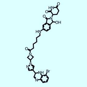 O=C1CCC(N2C(=O)c3cc(NCCCCCC(=O)N4CC(n5cc(C6C=Nc7cccc(Br)c7N6)cn5)C4)ccc3C2O)C(=O)N1